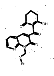 CCSCn1c(=O)c(C(=O)C2=C(O)CCCC2=O)cc2cccnc21